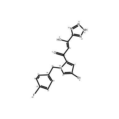 CCc1cc(C(=O)C=C(O)c2nn[nH]n2)n(Cc2ccc(F)cc2)c1